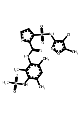 Cc1cc(C)c(NS(C)(=O)=O)c(C)c1NC(=O)c1sccc1S(=O)(=O)Nc1noc(C)c1Cl